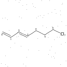 C=C/C=C/CCCCl